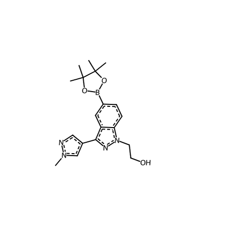 Cn1cc(-c2nn(CCO)c3ccc(B4OC(C)(C)C(C)(C)O4)cc23)cn1